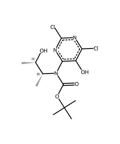 C[C@H](O)[C@@H](C)N(C(=O)OC(C)(C)C)c1nc(Cl)nc(Cl)c1O